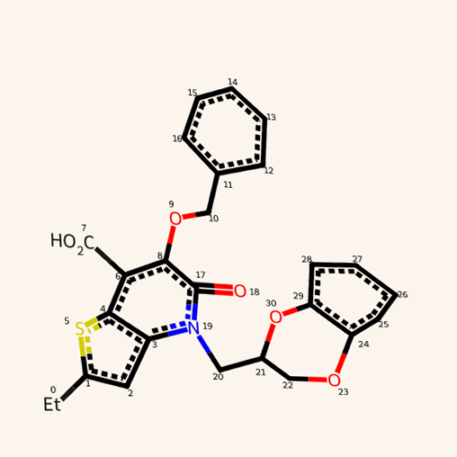 CCc1cc2c(s1)c(C(=O)O)c(OCc1ccccc1)c(=O)n2CC1COc2ccccc2O1